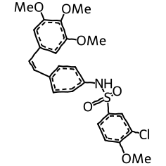 COc1ccc(S(=O)(=O)Nc2ccc(/C=C\c3cc(OC)c(OC)c(OC)c3)cc2)cc1Cl